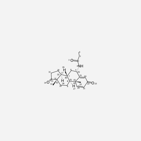 CCC(=O)N[C@H]1C[C@@H]2[C@H](CC[C@]3(C)C(=O)CC[C@@H]23)[C@@]2(C)C=CC(=O)C=C12